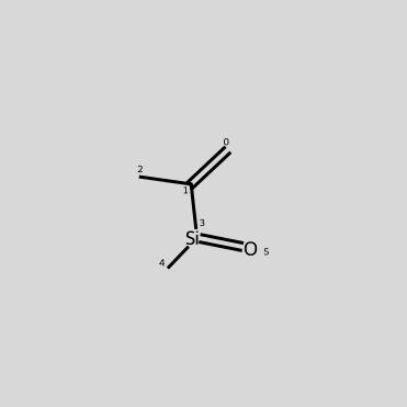 C=C(C)[Si](C)=O